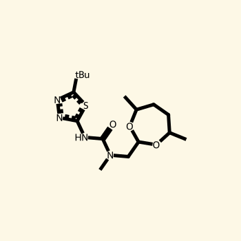 CC1CCC(C)OC(CN(C)C(=O)Nc2nnc(C(C)(C)C)s2)O1